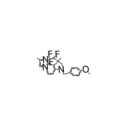 COc1ccc(CN2CC(C)(C(F)(F)F)c3c2ccn2cc(C)nc32)cc1